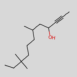 CC#CC(O)CC(C)CCCC(C)(C)CC